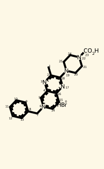 Br.Cc1nc2c[n+](Cc3ccccc3)ccc2nc1N1CCN(C(=O)O)CC1